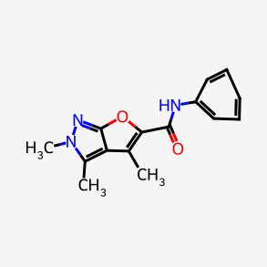 Cc1c(C(=O)Nc2ccccc2)oc2nn(C)c(C)c12